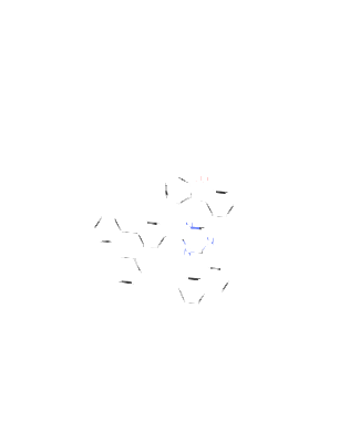 C1=CCCC(c2cc(-c3nc(-c4cccc5ccccc45)nc(-c4cccc5oc6ccccc6c45)n3)ccc2-c2ccccc2)=C1